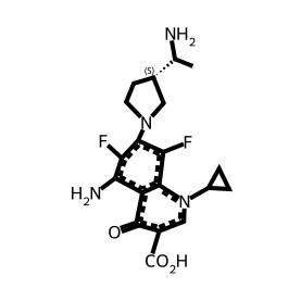 CC(N)[C@H]1CCN(c2c(F)c(N)c3c(=O)c(C(=O)O)cn(C4CC4)c3c2F)C1